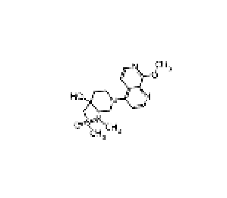 CN=S(C)(=O)CC1(O)CCN(c2ccnc3c(OC)nccc23)CC1